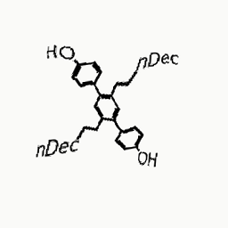 CCCCCCCCCCCCc1cc(-c2ccc(O)cc2)c(CCCCCCCCCCCC)cc1-c1ccc(O)cc1